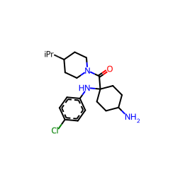 CC(C)C1CCN(C(=O)C2(Nc3ccc(Cl)cc3)CCC(N)CC2)CC1